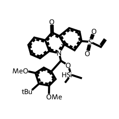 C=CS(=O)(=O)c1ccc2c(=O)c3ccccc3n(C(O[SiH](C)C)c3cc(OC)c(C(C)(C)C)c(OC)c3)c2c1